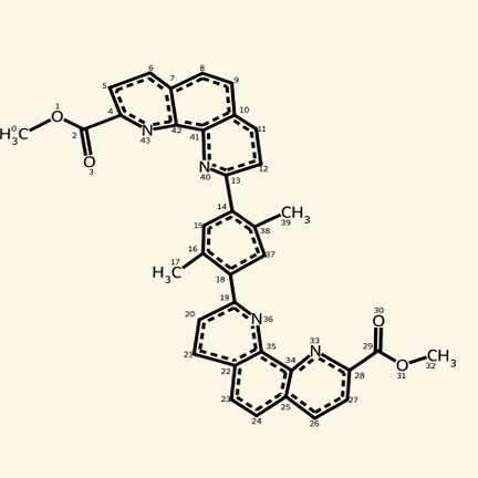 COC(=O)c1ccc2ccc3ccc(-c4cc(C)c(-c5ccc6ccc7ccc(C(=O)OC)nc7c6n5)cc4C)nc3c2n1